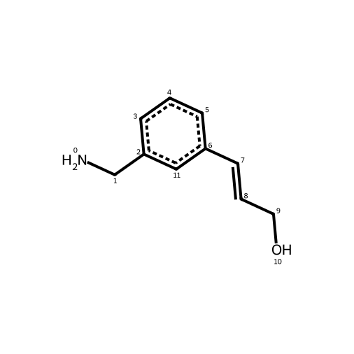 NCc1cccc(C=CCO)c1